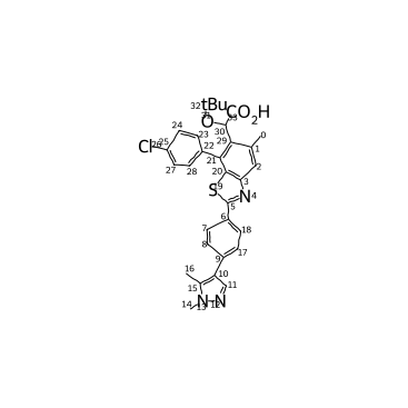 Cc1cc2nc(-c3ccc(-c4cnn(C)c4C)cc3)sc2c(-c2ccc(Cl)cc2)c1C(OC(C)(C)C)C(=O)O